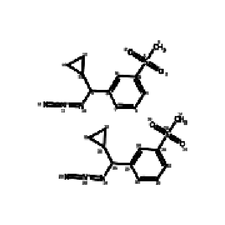 CS(=O)(=O)c1cccc(C(N=[N+]=[N-])C2CC2)c1.CS(=O)(=O)c1cccc(C(N=[N+]=[N-])C2CC2)c1